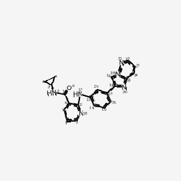 O=C(NC1CC1)c1cccnc1Nc1cccc(-c2cn3ncccc3n2)c1